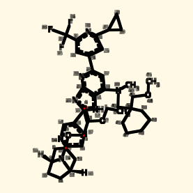 CCOC(=O)COC1C[C@H]2CC[C@@H](C1)N2c1cnc(-c2nc3nc(-c4cc(C5CC5)nc(C(F)(F)F)c4)cc(N(C)CC4(COC)CCCCC4)c3[nH]2)cn1